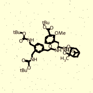 COc1c(C[C@H](NC(=O)Cc2ccc(CNC(=O)OC(C)(C)C)c(CNC(=O)OC(C)(C)C)c2)B2OC3CC4CC(C4(C)C)C3(C)O2)cccc1C(=O)OC(C)(C)C